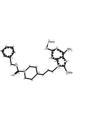 CCC[C@H](C)Oc1nc(N)c2nc(OC)n(CCCC3CCN(C(=O)OCc4ccccc4)CC3)c2n1